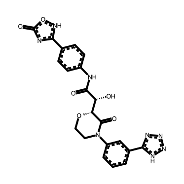 O=C(Nc1ccc(-c2nc(=O)o[nH]2)cc1)[C@H](O)[C@H]1OCCN(c2cccc(-c3nnn[nH]3)c2)C1=O